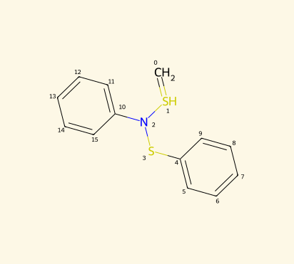 C=[SH]N(Sc1ccccc1)c1ccccc1